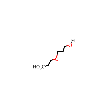 CCOCCCOCCC(=O)O